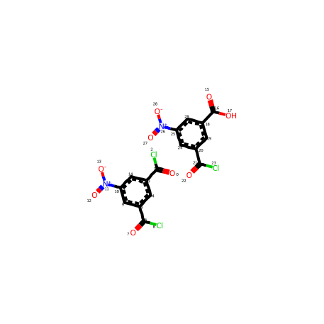 O=C(Cl)c1cc(C(=O)Cl)cc([N+](=O)[O-])c1.O=C(O)c1cc(C(=O)Cl)cc([N+](=O)[O-])c1